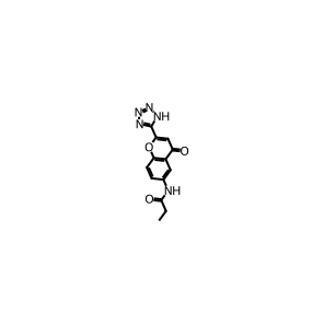 CCC(=O)Nc1ccc2oc(-c3nnn[nH]3)cc(=O)c2c1